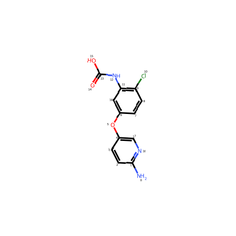 Nc1ccc(Oc2ccc(Cl)c(NC(=O)O)c2)cn1